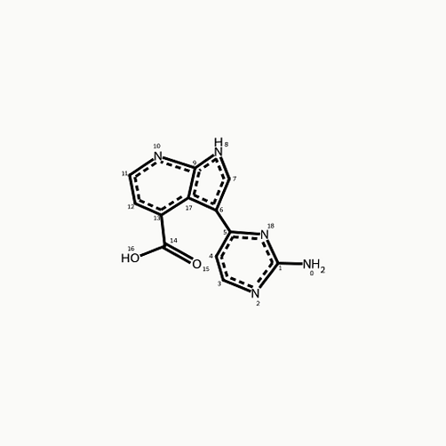 Nc1nccc(-c2c[nH]c3nccc(C(=O)O)c23)n1